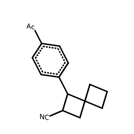 CC(=O)c1ccc(C2C(C#N)CC23CCC3)cc1